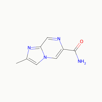 Cc1cn2cc(C(N)=O)ncc2n1